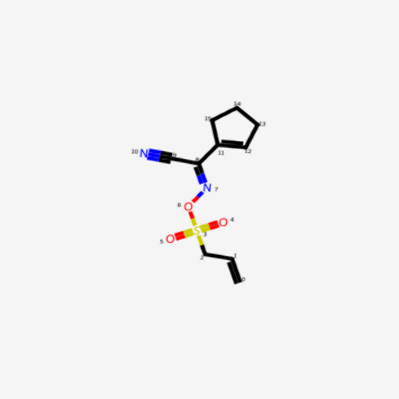 C=CCS(=O)(=O)ON=C(C#N)C1=CCCC1